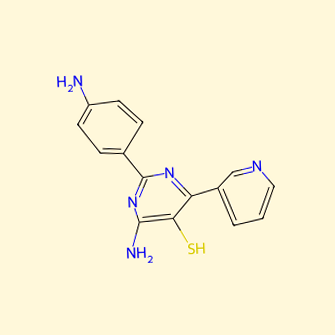 Nc1ccc(-c2nc(N)c(S)c(-c3cccnc3)n2)cc1